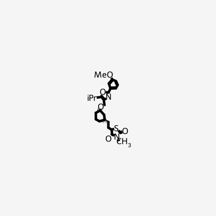 COc1cccc(-c2nc(CO[C@@H]3CCC[C@H](CCC4SC(=O)N(C)C4=O)C3)c(C(C)C)o2)c1